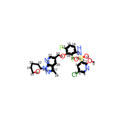 COc1ncc(Cl)cc1S(=O)(=O)Nc1ccc(F)c(OCc2cnc3c(c2)c(C)nn3C2CCCCO2)c1F